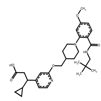 COc1ccc(C(=O)NCC(C)(C)C)c(N2CCC(COc3cc(C(CC(=O)O)C4CC4)ccn3)CC2)c1